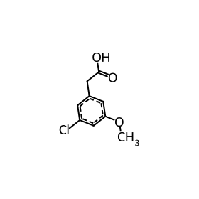 COc1cc(Cl)cc(CC(=O)O)c1